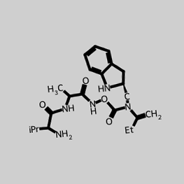 C=C(CC)N(C[C@@H]1Cc2ccccc2N1)C(=O)ONC(=O)C(C)NC(=O)C(N)C(C)C